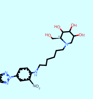 O=[N+]([O-])c1cc(-n2nccn2)ccc1NCCCCCCN1CC(O)C(O)C(O)[C@@H]1CO